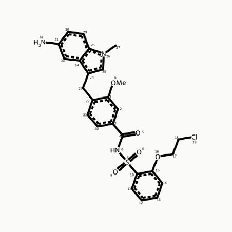 COc1cc(C(=O)NS(=O)(=O)c2ccccc2OCCCl)ccc1Cc1cn(C)c2ccc(N)cc12